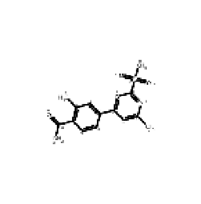 Cc1cc(-c2cc(C(F)(F)F)nc(S(C)(=O)=O)n2)ccc1C(N)=O